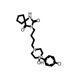 O=C1NC2(CCCC2)C(=O)N1CCCCN1CC[N+](O)(c2ccc(Cl)cc2)CC1